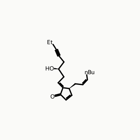 CCC#CC[C@H](O)C/C=C1/C(=O)C=C[C@@H]1C/C=C\CCCC